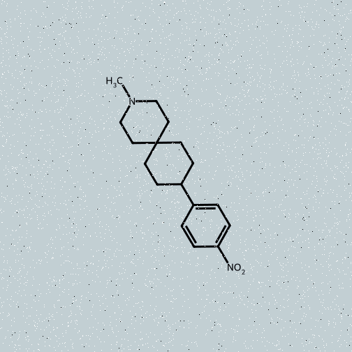 CN1CCC2(CCC(c3ccc([N+](=O)[O-])cc3)CC2)CC1